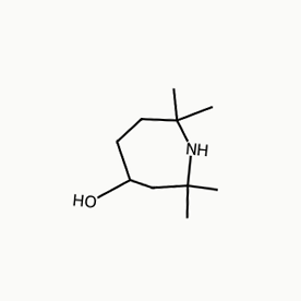 CC1(C)CCC(O)CC(C)(C)N1